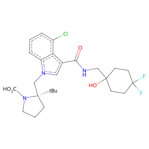 CC(C)(C)[C@]1(Cn2cc(C(=O)NCC3(O)CCC(F)(F)CC3)c3c(Cl)cccc32)CCCN1C(=O)O